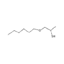 CCCCCCOCC(C)S